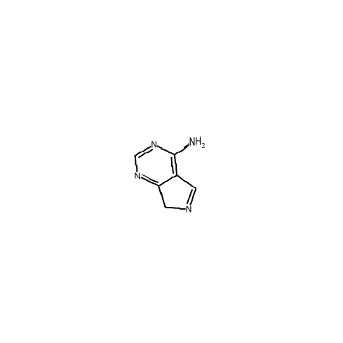 Nc1ncnc2c1C=NC2